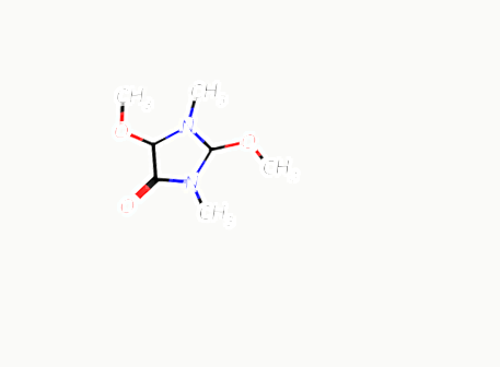 COC1C(=O)N(C)C(OC)N1C